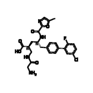 Cc1cnc(C(=O)N[C@H](Cc2ccc(-c3cc(Cl)ccc3F)cc2)C[C@@H](CNC(=O)CN)C(=O)O)o1